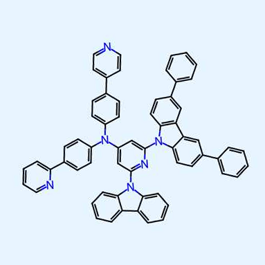 c1ccc(-c2ccc3c(c2)c2cc(-c4ccccc4)ccc2n3-c2cc(N(c3ccc(-c4ccncc4)cc3)c3ccc(-c4ccccn4)cc3)cc(-n3c4ccccc4c4ccccc43)n2)cc1